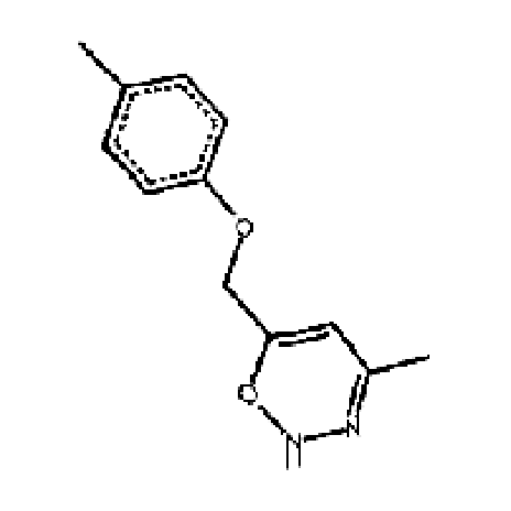 CC1=NNOC(COc2ccc(C)cc2)=C1